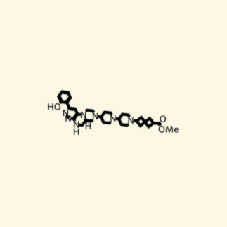 COC(=O)C1CC2(C1)CC(N1CCC(N3CCC(N4CCN5c6cc(-c7ccccc7O)nnc6NC[C@H]5C4)CC3)CC1)C2